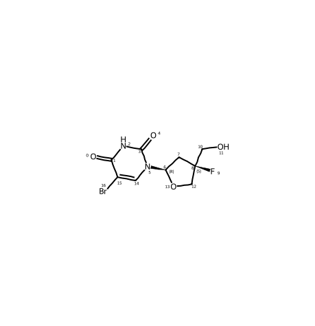 O=c1[nH]c(=O)n([C@H]2C[C@](F)(CO)CO2)cc1Br